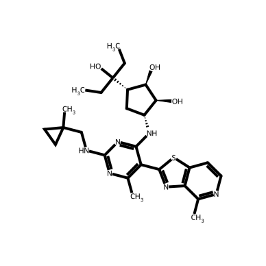 CCC(O)(CC)[C@H]1C[C@@H](Nc2nc(NCC3(C)CC3)nc(C)c2-c2nc3c(C)nccc3s2)[C@H](O)[C@@H]1O